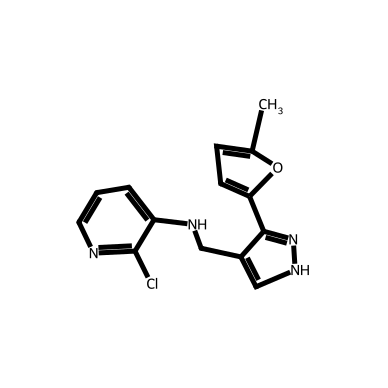 Cc1ccc(-c2n[nH]cc2CNc2cccnc2Cl)o1